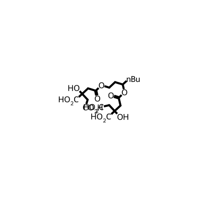 CCCCC(CCOC(=O)CC(O)(CC(=O)O)C(=O)O)OC(=O)CC(O)(CC(=O)O)C(=O)O